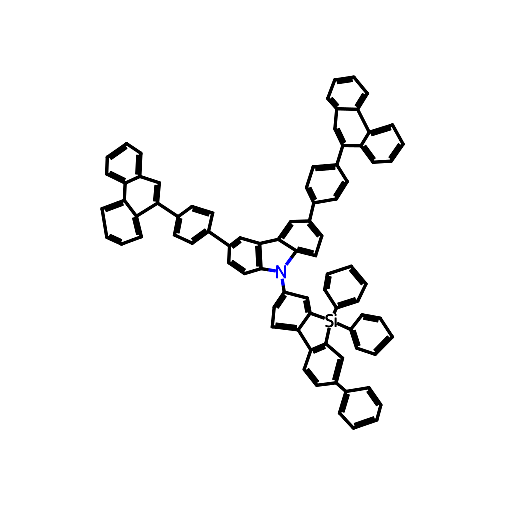 c1ccc(-c2ccc3c(c2)[Si](c2ccccc2)(c2ccccc2)c2cc(-n4c5ccc(-c6ccc(-c7cc8ccccc8c8ccccc78)cc6)cc5c5cc(-c6ccc(-c7cc8ccccc8c8ccccc78)cc6)ccc54)ccc2-3)cc1